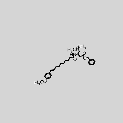 COc1ccc(C=CCCCCCCCC(=O)NC(CC(=O)OCc2ccccc2)CN(C)C)cc1